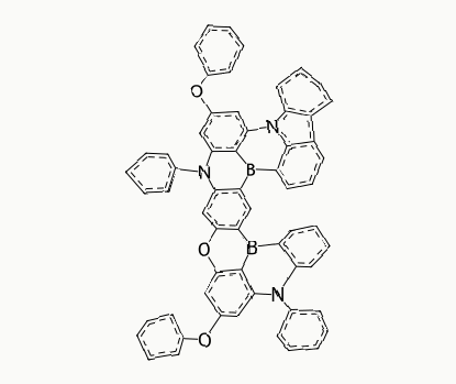 c1ccc(Oc2cc3c4c(c2)N(c2ccccc2)c2ccccc2B4c2cc4c(cc2O3)N(c2ccccc2)c2cc(Oc3ccccc3)cc3c2B4c2cccc4c5ccccc5n-3c24)cc1